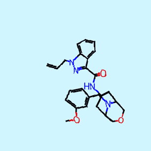 C=CCn1nc(C(=O)NC2CC3COCC(C2)N3Cc2cccc(OC)c2)c2ccccc21